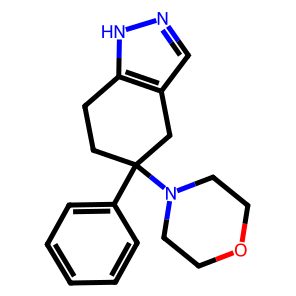 c1ccc(C2(N3CCOCC3)CCc3[nH]ncc3C2)cc1